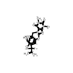 C=C(/C=C\C(Cl)=C/C)Cn1c(Oc2cccc(C(F)(F)C(=C)C)c2)nc2c1c(=O)n(C)c(=O)n2CC